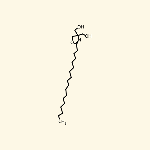 CCCCCCCCCCCCCCCCCC1=NC(CO)(CO)CO1